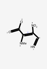 CN/C(C(=O)Cl)=C(\C=N)[N+](=O)[O-]